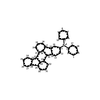 c1ccc(N(c2ccccc2)c2ccc3c(c2)c2cccc4c5c6ccccc6c6cccc(c65)c3c24)cc1